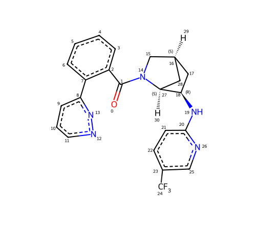 O=C(c1ccccc1-c1cccnn1)N1C[C@H]2C[C@@H](Nc3ccc(C(F)(F)F)cn3)[C@@H]1C2